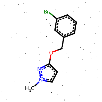 Cn1ccc(OCc2cccc(Br)c2)n1